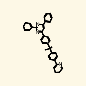 CC(C)(c1ccc(C2=CCCC=N2)cc1)c1ccc(-c2cc(-c3ccccc3)nc(C3=CCCC=C3)n2)cc1